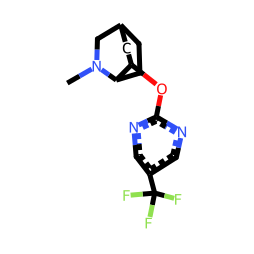 CN1CC2CCC1C(Oc1ncc(C(F)(F)F)cn1)C2